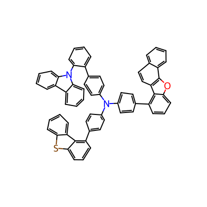 c1ccc(-n2c3ccccc3c3ccccc32)c(-c2ccc(N(c3ccc(-c4cccc5oc6c7ccccc7ccc6c45)cc3)c3ccc(-c4cccc5sc6ccccc6c45)cc3)cc2)c1